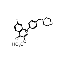 O=C(O)Oc1cn(-c2ccc(CN3CCOCC3)cc2)c2cc(F)ccc2c1=O